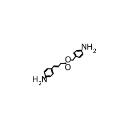 Nc1ccc(/C=C/CC(=O)OCc2ccc(N)cc2)cc1